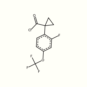 O=C(Cl)C1(c2ccc(OC(F)(F)F)cc2F)CC1